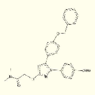 COc1ccc(-n2nc(OCC(=O)N(C)C)cc2-c2ccc(OCc3ccccc3)cc2)cc1